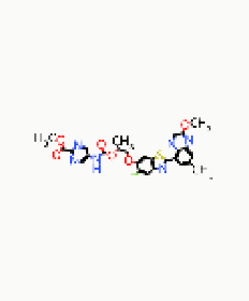 COC(=O)c1ncc(NC(=O)OC(C)COc2cc3sc(-c4cc(C)cc5nc(OC)cnc45)nc3cc2F)cn1